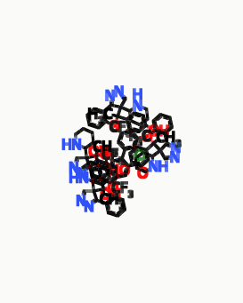 CC(Oc1cc(OC(C)(c2ccc(O)cc2)C2(C3CCCCN3)C=NN=C2c2ccccc2C(F)(F)F)cc(-c2c(OC(C)(c3ccc(O)cc3)C3(C4CCCCN4)C=NN=C3c3ccccc3C(F)(F)F)cc(OC(C)(c3ccc(O)cc3)C3(C4CCCCN4)C=NN=C3c3ccccc3C(F)(F)F)cc2C(=O)Cl)c1)(c1ccc(O)cc1)C1(C2CCCCN2)C=NN=C1c1ccccc1C(F)(F)F